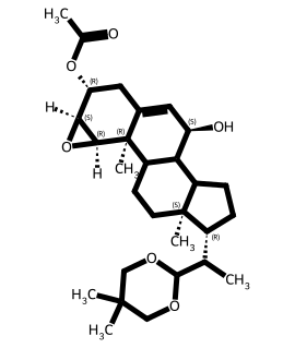 CC(=O)O[C@@H]1CC2=C[C@@H](O)C3C4CC[C@H](C(C)C5OCC(C)(C)CO5)[C@@]4(C)CCC3[C@@]2(C)[C@H]2O[C@@H]12